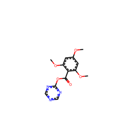 COc1cc(OC)c(C(=O)Oc2ncncn2)c(OC)c1